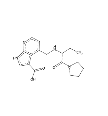 CCC(NCc1ccnc2[nH]cc(C(=O)O)c12)C(=O)N1CCCC1